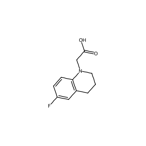 O=C(O)CN1CCCc2cc(F)ccc21